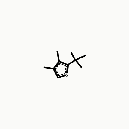 Cc1c(I)csc1C(C)(C)C